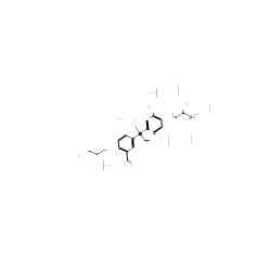 CCCCOc1ccc(C(CC)(CC)c2ccc(OCC(O)C(C)(C)C)c(C)c2)cc1C(=O)O